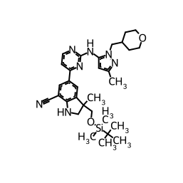 Cc1cc(Nc2nccc(-c3cc(C#N)c4c(c3)C(C)(CO[Si](C)(C)C(C)(C)C)CN4)n2)n(CC2CCOCC2)n1